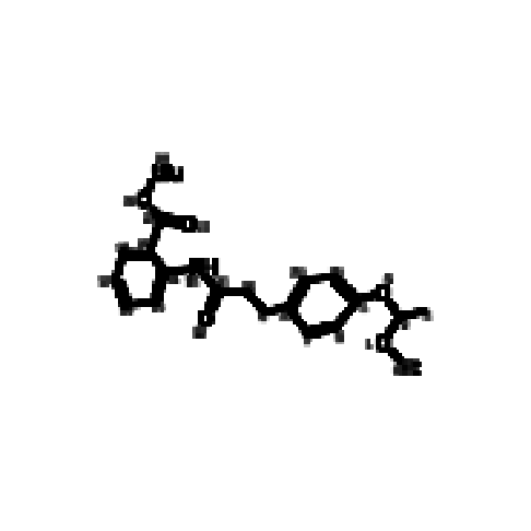 CCOC(C)Oc1ccc(CCC(=O)Nc2ccccc2C(=O)OC(C)(C)C)cc1